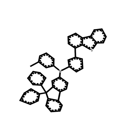 Cc1cccc(N(c2cccc(-c3cccc4c3sc3ccccc34)c2)c2ccc3c(c2)C(c2ccccc2)(c2ccccc2)c2ccccc2-3)c1